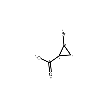 [O]C(=O)C1CC1Br